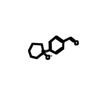 O=Cc1ccc([N+]2([O-])CCCCC2)cc1